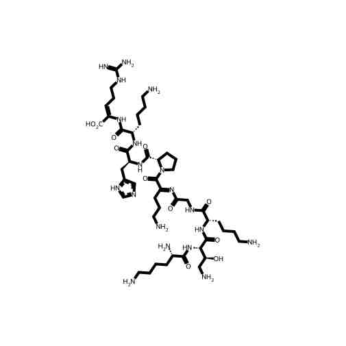 N=C(N)NCC/C=C(\NC(=O)[C@H](CCCCN)NC(=O)[C@H](Cc1cnc[nH]1)NC(=O)[C@@H]1CCCN1C(=O)/C(CCCN)=N/C(=O)CNC(=O)[C@H](CCCCN)NC(=O)[C@@H](NC(=O)[C@@H](N)CCCCN)[C@@H](O)CN)C(=O)O